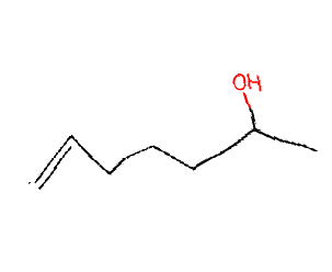 [CH]=CCCCC(C)O